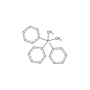 CP(C)(c1ccccc1)(c1ccccc1)c1ccccc1